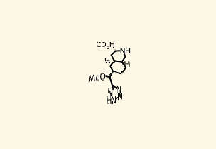 COC(c1nn[nH]n1)[C@@H]1CC[C@@H]2CN[C@@H](C(=O)O)C[C@@H]2C1